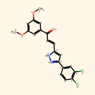 COc1cc(OC)cc(C(=O)C=Cc2cc(-c3ccc(Cl)c(Cl)c3)n[nH]2)c1